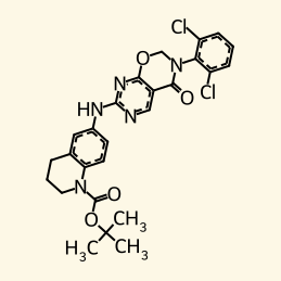 CC(C)(C)OC(=O)N1CCCc2cc(Nc3ncc4c(n3)OCN(c3c(Cl)cccc3Cl)C4=O)ccc21